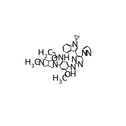 C=CC(=O)Nc1cc(Nc2ncc(-n3cccn3)c(-c3cn(C4CC4)c4ccccc34)n2)c(OC)cc1N1CC2CN(C)CC2C1